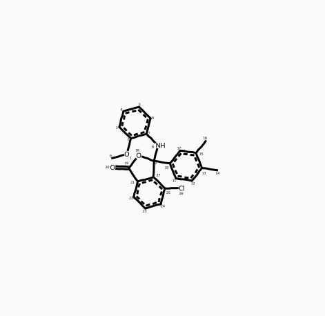 COc1ccccc1NC1(c2ccc(C)c(C)c2)OC(=O)c2cccc(Cl)c21